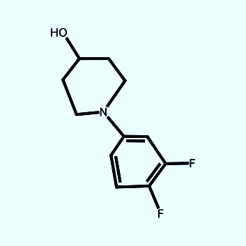 OC1CCN(c2ccc(F)c(F)c2)CC1